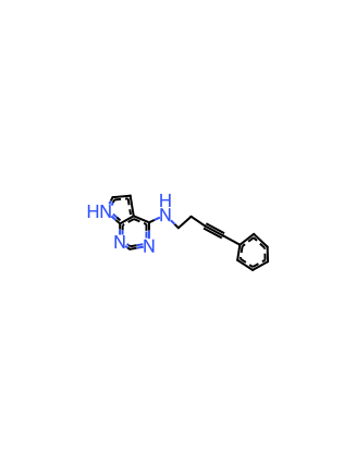 C(#Cc1ccccc1)CCNc1ncnc2[nH]ccc12